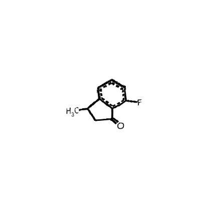 CC1CC(=O)c2c(F)cccc21